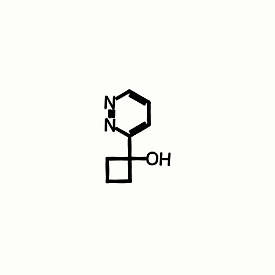 OC1(c2cccnn2)CCC1